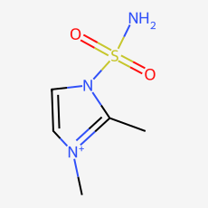 Cc1n(S(N)(=O)=O)cc[n+]1C